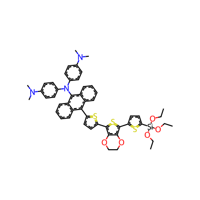 CCO[Si](OCC)(OCC)c1ccc(-c2sc(-c3ccc(-c4c5ccccc5c(N(c5ccc(N(C)C)cc5)c5ccc(N(C)C)cc5)c5ccccc45)s3)c3c2OCCO3)s1